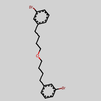 Brc1cccc(CCCCOCCCCc2cccc(Br)c2)c1